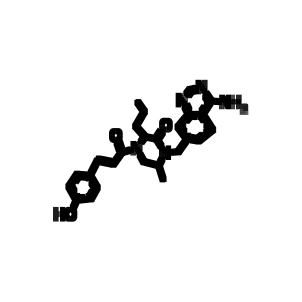 CCCC1C(=O)N(Cc2ccc3c(N)ncnc3c2)C(C)CN1C(=O)C=Cc1ccc(O)cc1